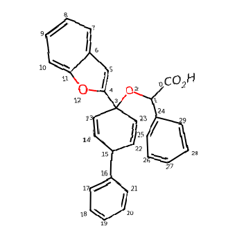 O=C(O)C(OC1(c2cc3ccccc3o2)C=CC(c2ccccc2)C=C1)c1ccccc1